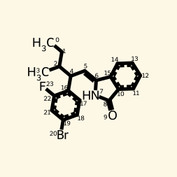 CCC(C)C(C=C1NC(=O)c2ccccc21)c1ccc(Br)cc1F